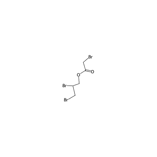 O=C(CBr)OCC(Br)CBr